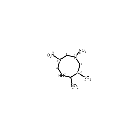 O=[N+]([O-])C1NCN([N+](=O)[O-])CN([N+](=O)[O-])CN1[N+](=O)[O-]